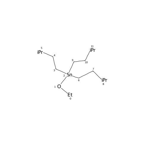 CC[O][Sn]([CH2]CC(C)C)([CH2]CC(C)C)[CH2]CC(C)C